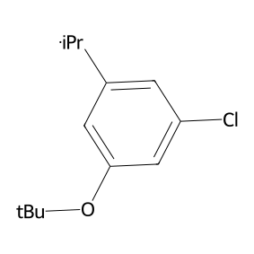 C[C](C)c1cc(Cl)cc(OC(C)(C)C)c1